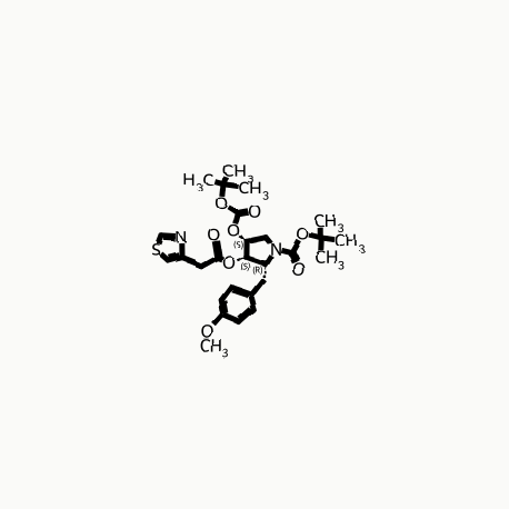 COc1ccc(C[C@@H]2[C@H](OC(=O)Cc3cscn3)[C@@H](OC(=O)OC(C)(C)C)CN2C(=O)OC(C)(C)C)cc1